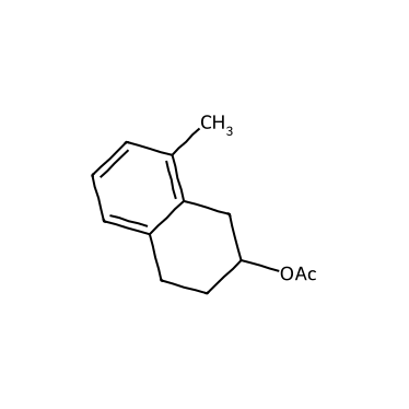 CC(=O)OC1CCc2cccc(C)c2C1